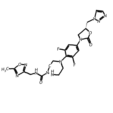 Cc1nc(CNC(=O)N2CCN(c3c(F)cc(N4C[C@H](Cn5ccnn5)OC4=O)cc3F)CCN2)no1